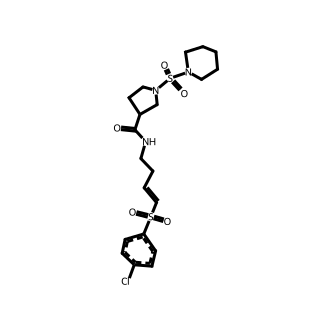 O=C(NCC/C=C/S(=O)(=O)c1ccc(Cl)cc1)C1CCN(S(=O)(=O)N2CCCCC2)C1